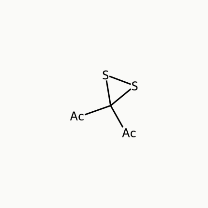 CC(=O)C1(C(C)=O)SS1